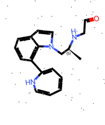 C[C@@H](Cn1ccc2cccc(C3=CC=CC=CN3)c21)NC[C]=O